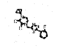 O=c1c(=O)n(C23CC(C2)C3)ccn1Cc1nnc(-c2ccccc2F)s1